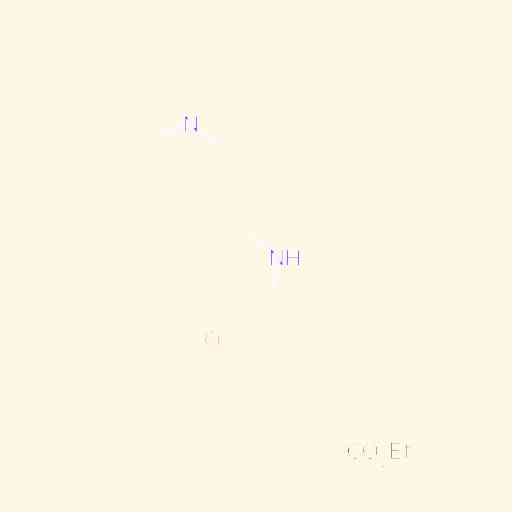 CCOC(=O)CCC(=O)NCCn1cccc1